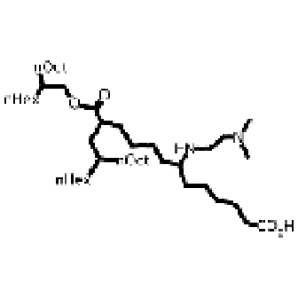 CCCCCCCCC(CCCCCC)COC(=O)C(CCCCC(CCCCCC(=O)O)NCCN(C)C)CC(CCCCCC)CCCCCCCC